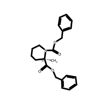 C[C@]1(C(=O)OCc2ccccc2)CCCCN1C(=O)OCc1ccccc1